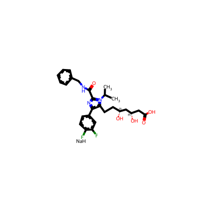 CC(C)n1c(C(=O)NCc2ccccc2)nc(-c2ccc(F)c(F)c2)c1CC[C@@H](O)C[C@@H](O)CC(=O)O.[NaH]